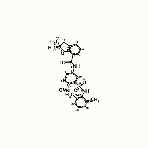 COc1ncc(NC(=O)c2cccc3c2OC(C)(C)C3)cc1S(=O)(=O)Nc1c(C)cccc1C